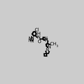 Cc1nc(N2CCC3(CCC3)C2)ccc1Cn1cc(C(=O)NCc2cc(Cl)ccc2-n2cnnn2)cn1